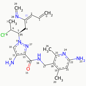 C=C/C=C(\C[C@H](C(C)Cl)n1cc(N)c(C(=O)NCc2c(C)cc(N)nc2C)n1)N=C